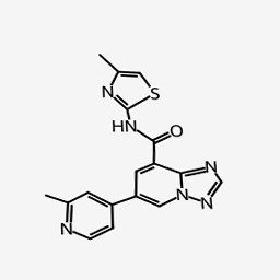 Cc1cc(-c2cc(C(=O)Nc3nc(C)cs3)c3ncnn3c2)ccn1